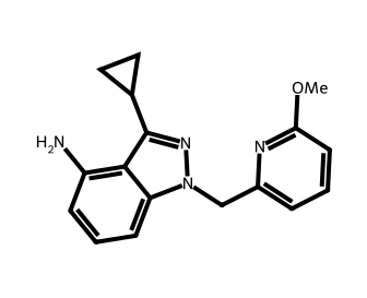 COc1cccc(Cn2nc(C3CC3)c3c(N)cccc32)n1